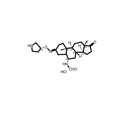 C[C@]12CCC(=NO[C@@H]3CCNC3)CC1[C@@H](NC=O)C[C@@H]1[C@@H]2CC[C@]2(C)C(=O)CC[C@@H]12.Cl